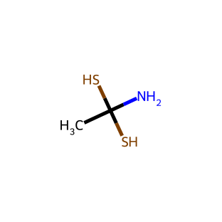 CC(N)(S)S